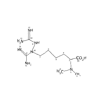 CN(C)C(CCCCN(NC(=N)N)C(=N)N)C(=O)O